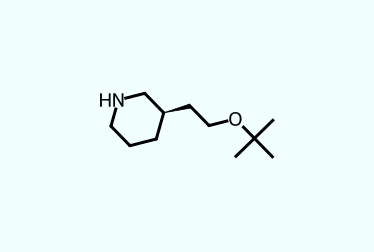 CC(C)(C)OCC[C@H]1CCCNC1